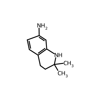 CC1(C)CCc2ccc(N)cc2N1